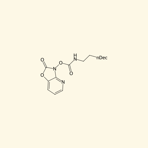 CCCCCCCCCCCCNC(=O)On1c(=O)oc2cccnc21